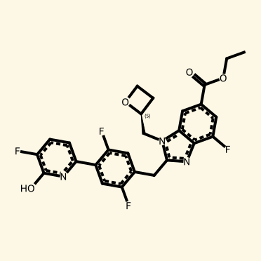 CCOC(=O)c1cc(F)c2nc(Cc3cc(F)c(-c4ccc(F)c(O)n4)cc3F)n(C[C@@H]3CCO3)c2c1